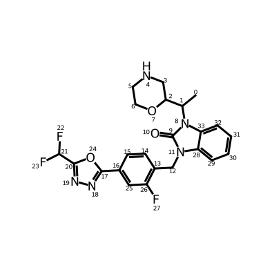 CC(C1CNCCO1)n1c(=O)n(Cc2ccc(-c3nnc(C(F)F)o3)cc2F)c2ccccc21